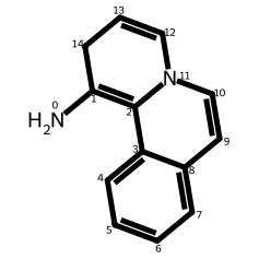 NC1=C2c3ccccc3C=CN2C=CC1